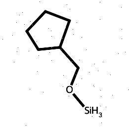 [SiH3]OCC1CCCC1